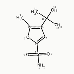 Cc1oc(S(N)(=O)=O)cc1C(C)(C)O